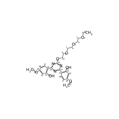 CCOCCOCCOCCOc1nc(-c2ccc(OC)cc2O)nc(-c2ccc(OC)cc2O)n1